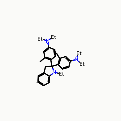 CCN(CC)c1ccc(C2(c3ccc(N(CC)CC)cc3C)Cc3c[c]ccc3N2CC)c(C)c1